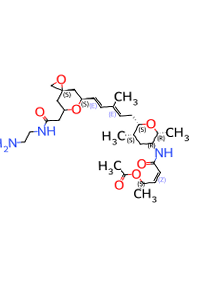 CC(=O)O[C@@H](C)/C=C\C(=O)N[C@@H]1C[C@H](C)[C@H](C/C=C(C)/C=C/[C@@H]2C[C@]3(CO3)CC(CC(=O)NCCN)O2)O[C@@H]1C